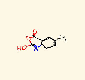 CC1=CCC2N=C(O)OC(=O)C2=C1